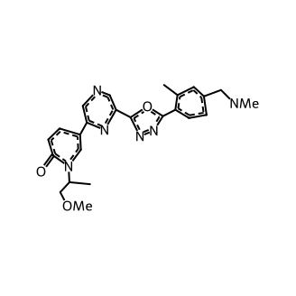 CNCc1ccc(-c2nnc(-c3cncc(-c4ccc(=O)n(C(C)COC)c4)n3)o2)c(C)c1